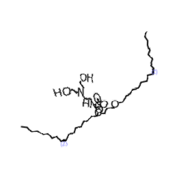 CCCCCCCC/C=C\CCCCCCCCOCC(COCCCCCCCC/C=C\CCCCCCCC)OS(=O)(=O)NCCN(CCO)CCO